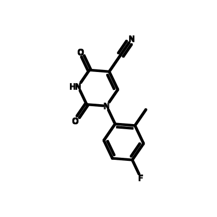 Cc1cc(F)ccc1-n1cc(C#N)c(=O)[nH]c1=O